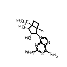 CCOC(=O)[C@@]12CC[C@@H]1[C@@H](n1cnc3c(N)nc(SC)nc31)[C@H](O)[C@@H]2O